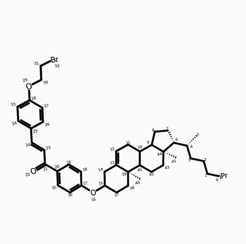 CC(C)CCC[C@@H](C)[C@H]1CCC2C3CC=C4CC(Oc5ccc(C(=O)C=Cc6ccc(OCCBr)cc6)cc5)CC[C@]4(C)C3CC[C@@]21C